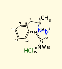 CNc1cnn(C(C)Cc2ccccc2)c1.Cl